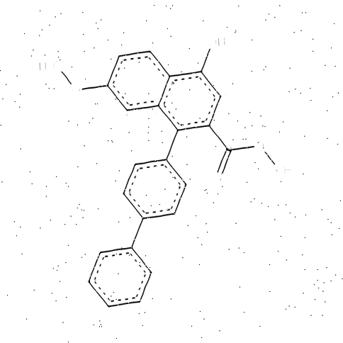 COC(=O)c1cc(O)c2ccc(OC)cc2c1-c1ccc(-c2ccccc2)cc1